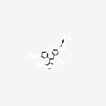 CC#CC(=O)Nc1ccc(-c2c(-c3cccc(OC)c3)c3c(N)ncnc3n2C)cc1